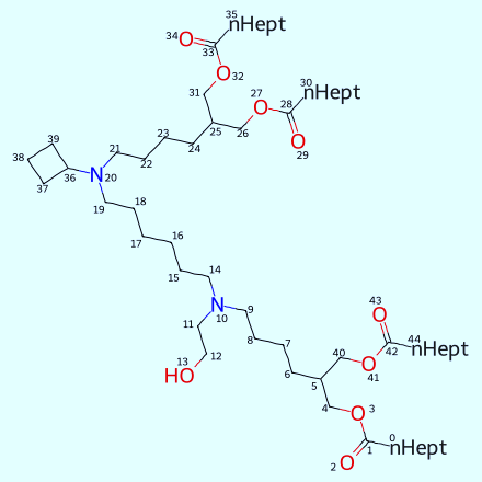 CCCCCCCC(=O)OCC(CCCCN(CCO)CCCCCCN(CCCCC(COC(=O)CCCCCCC)COC(=O)CCCCCCC)C1CCC1)COC(=O)CCCCCCC